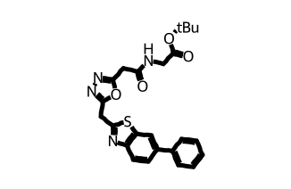 CC(C)(C)OC(=O)CNC(=O)Cc1nnc(Cc2nc3ccc(-c4ccccc4)cc3s2)o1